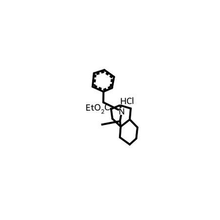 CCOC(=O)C1CC23CCCCC2CC1N(Cc1ccccc1)C3C.Cl